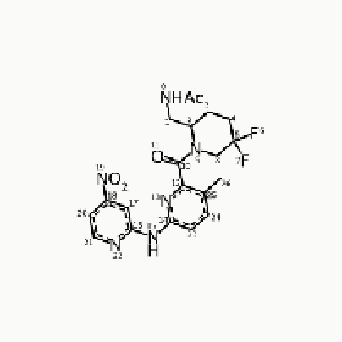 CC(=O)NCC1CCC(F)(F)CN1C(=O)c1nc(Nc2cc([N+](=O)[O-])ccn2)ccc1C